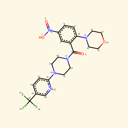 O=C(c1cc([N+](=O)O)ccc1N1CCOCC1)N1CCN(c2ccc(C(F)(F)F)cn2)CC1